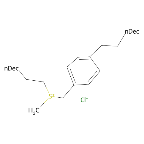 CCCCCCCCCCCCc1ccc(C[S+](C)CCCCCCCCCCCC)cc1.[Cl-]